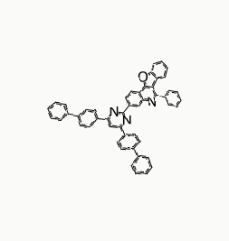 c1ccc(-c2ccc(-c3cc(-c4ccc(-c5ccccc5)cc4)nc(-c4ccc5c(c4)nc(-c4ccccc4)c4c6ccccc6oc54)n3)cc2)cc1